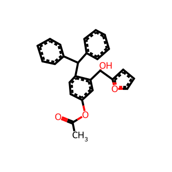 CC(=O)Oc1ccc(C(c2ccccc2)c2ccccc2)c(C(O)c2ccco2)c1